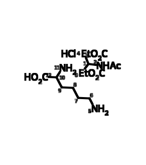 CCOC(=O)C(NC(C)=O)C(=O)OCC.Cl.NCCCCC(N)C(=O)O